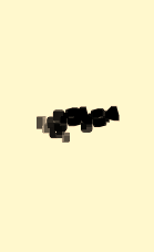 O=C(OC(C(F)(F)F)C(F)(F)F)N1CCC2(CC1)CC2C(=O)N1CCN(C2CC2)CC1